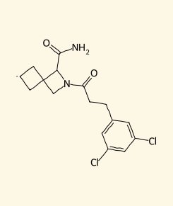 NC(=O)C1N(C(=O)CCc2cc(Cl)cc(Cl)c2)CC12C[CH]C2